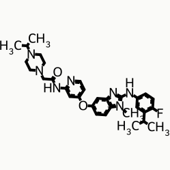 CC(C)c1cc(Nc2nc3cc(Oc4ccnc(NC(=O)CN5CCN(C(C)C)CC5)c4)ccc3n2C)ccc1F